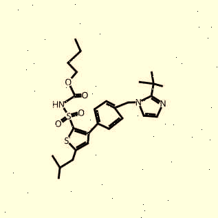 CCCCOC(=O)NS(=O)(=O)c1sc(CC(C)C)cc1-c1ccc(Cn2ccnc2C(C)(C)C)cc1